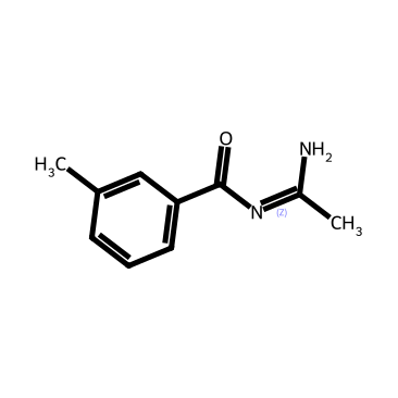 C/C(N)=N/C(=O)c1cccc(C)c1